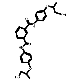 CC(CO)Oc1ccc(NC(=O)c2cccc(C(=O)Nc3ccc(OC(C)CO)cc3)c2)cc1